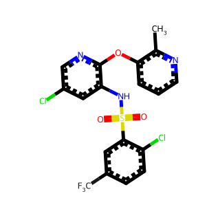 Cc1ncccc1Oc1ncc(Cl)cc1NS(=O)(=O)c1cc(C(F)(F)F)ccc1Cl